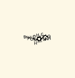 CC1CC(=O)NN=C1c1ccc(NC(=O)OCCBr)cc1